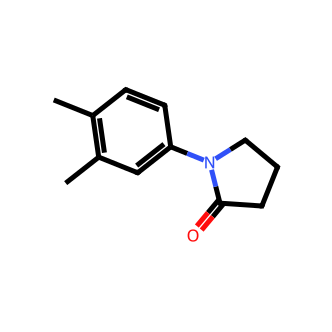 Cc1ccc(N2CCCC2=O)cc1C